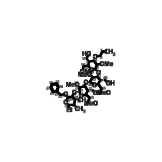 C=CCO[C@@H]1C(OC)[C@@H](O[C@@H]2C(OC)[C@@H](O[C@@H]3C(OC)[C@@H](OC4[C@@H](OCc5ccccc5)OC(CC)[C@@H](C)[C@@H]4C)OC(COC)[C@H]3CO)OC(COC)[C@H]2CO)OC(COC)[C@H]1CO